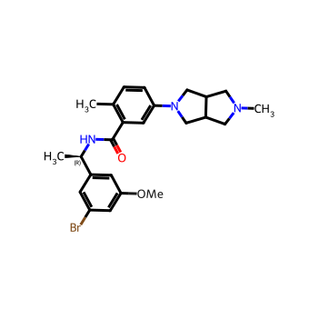 COc1cc(Br)cc([C@@H](C)NC(=O)c2cc(N3CC4CN(C)CC4C3)ccc2C)c1